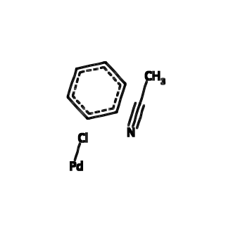 CC#N.[Cl][Pd].c1ccccc1